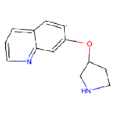 [c]1cc2cccnc2cc1OC1CCNC1